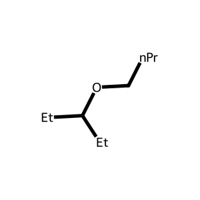 CCCCOC(CC)CC